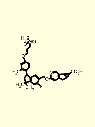 CC1(C)CC(c2ccc(OCCCS(C)(=O)=O)cc2C(F)(F)F)c2cc(COc3cc4c(cn3)C3C(C4)C3C(=O)O)c(F)cc21